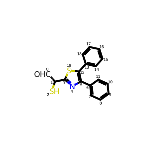 O=CC(S)c1nc(-c2ccccc2)c(-c2ccccc2)s1